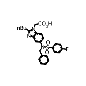 CCCCc1nc2cc(N(Cc3ccccc3)S(=O)(=O)c3ccc(F)cc3)ccc2n1CC(=O)O